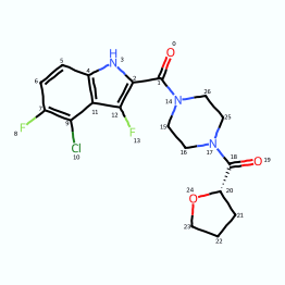 O=C(c1[nH]c2ccc(F)c(Cl)c2c1F)N1CCN(C(=O)[C@@H]2CCCO2)CC1